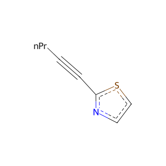 CCCC#Cc1nccs1